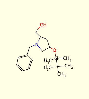 CC(C)(C)[Si](C)(C)OC1CC(CO)N(Cc2ccccc2)C1